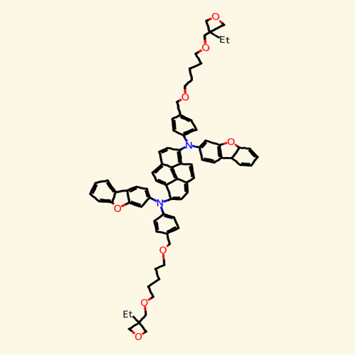 CCC1(COCCCCCOCc2ccc(N(c3ccc4c(c3)OC3C=CC=CC43)c3ccc4ccc5c(N(c6ccc(COCCCCCOCC7(CC)COC7)cc6)c6ccc7c(c6)oc6ccccc67)ccc6ccc3c4c65)cc2)COC1